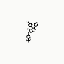 O=c1n(Cc2ccc(C(F)(F)F)nc2)nc2ncc(-c3ccncc3)c(-c3ccc(Cl)cc3)n12